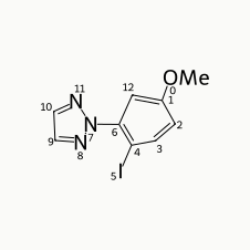 COc1ccc(I)c(-n2nccn2)c1